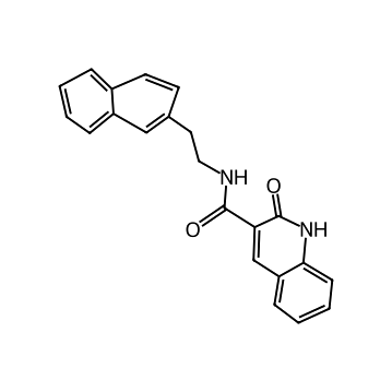 O=C(NCCc1ccc2ccccc2c1)c1cc2ccccc2[nH]c1=O